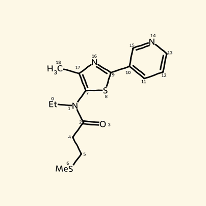 CCN(C(=O)CCSC)c1sc(-c2cccnc2)nc1C